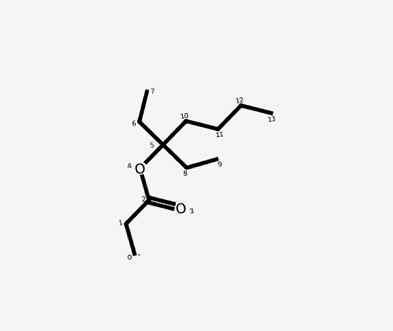 [CH2]CC(=O)OC(CC)(CC)CCCC